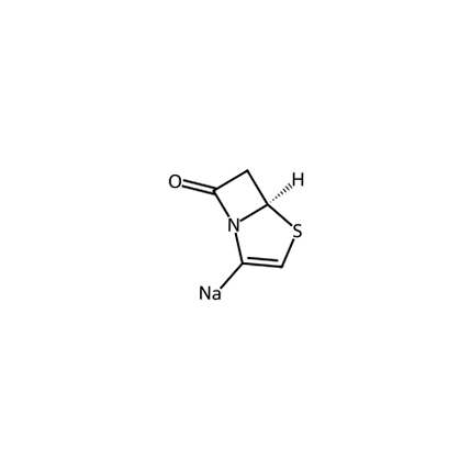 O=C1C[C@H]2SC=[C]([Na])N12